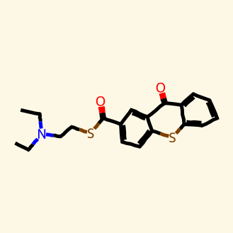 CCN(CC)CCSC(=O)c1ccc2sc3ccccc3c(=O)c2c1